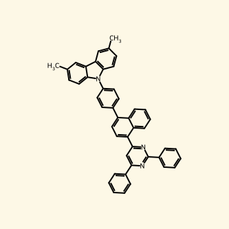 Cc1ccc2c(c1)c1cc(C)ccc1n2-c1ccc(-c2ccc(-c3cc(-c4ccccc4)nc(-c4ccccc4)n3)c3ccccc23)cc1